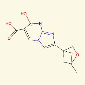 CC12CC(c3cn4cc(C(=O)O)c(O)nc4n3)(CO1)C2